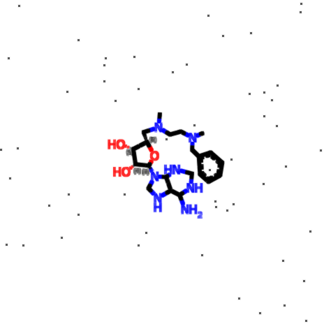 CN(CCN(C)C[C@H]1O[C@@H](N2CNC3C(N)NCNC32)[C@H](O)[C@@H]1O)Cc1ccccc1